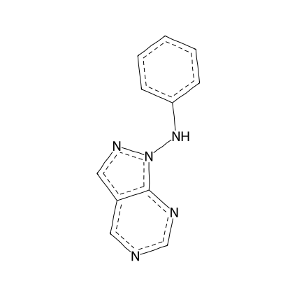 c1ccc(Nn2ncc3cncnc32)cc1